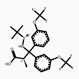 C[C@@H](C(=O)O)C(N[S+]([O-])C(C)(C)C)(c1cccc(OC(F)(F)F)c1)c1cccc(OC(F)(F)F)c1